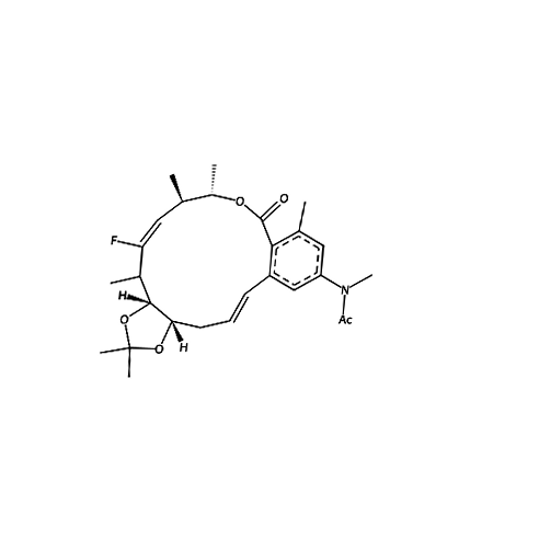 CC(=O)N(C)c1cc(C)c2c(c1)/C=C/C[C@@H]1OC(C)(C)O[C@@H]1C(C)/C(F)=C\[C@@H](C)[C@H](C)OC2=O